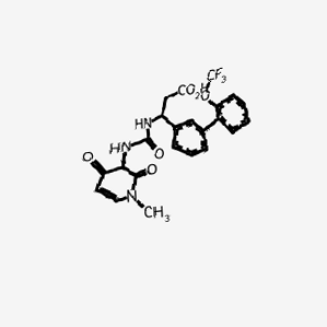 CN1C=CC(=O)C(NC(=O)NC(CC(=O)O)c2cccc(-c3ccccc3OC(F)(F)F)c2)C1=O